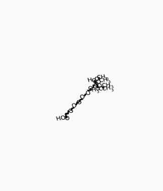 CC(C)(C)OC(=O)N(CCOCCOCCOCCOCCOCCOC/C=C/C(=O)O)C(=O)OC(C)(C)C